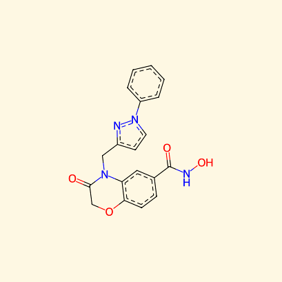 O=C(NO)c1ccc2c(c1)N(Cc1ccn(-c3ccccc3)n1)C(=O)CO2